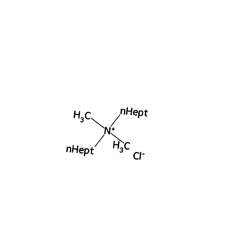 CCCCCCC[N+](C)(C)CCCCCCC.[Cl-]